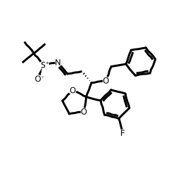 CC(C)(C)[S@+]([O-])N=CC[C@H](OCc1ccccc1)C1(c2cccc(F)c2)OCCO1